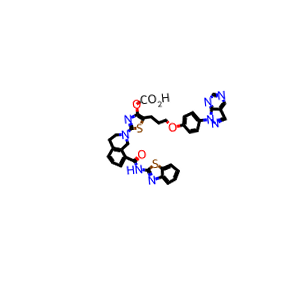 O=C(O)Oc1nc(N2CCc3cccc(C(=O)Nc4nc5ccccc5s4)c3C2)sc1CCCOc1ccc(-n2ncc3cncnc32)cc1